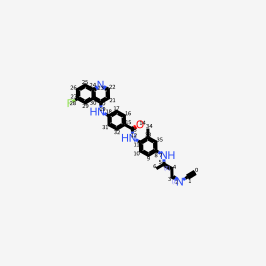 C#C/N=C\C=C(/C)Nc1ccc(NC(=O)c2ccc(Nc3ccnc4ccc(F)cc34)cc2)c(C)c1